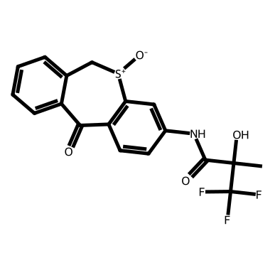 CC(O)(C(=O)Nc1ccc2c(c1)[S+]([O-])Cc1ccccc1C2=O)C(F)(F)F